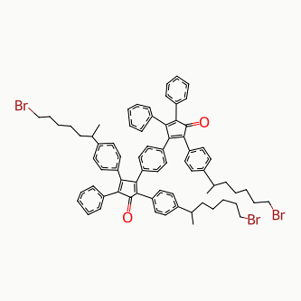 CC(CCCCCBr)c1ccc(C2=C(c3ccc(C4=C(c5ccc(C(C)CCCCCBr)cc5)C(=O)C(c5ccccc5)=C4c4ccc(C(C)CCCCCBr)cc4)cc3)C(c3ccccc3)=C(c3ccccc3)C2=O)cc1